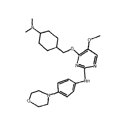 COc1cnc(Nc2ccc(N3CCOCC3)cc2)nc1OCC1CCC(N(C)C)CC1